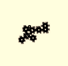 CC1CC(c2ccc(-c3cccc4ccccc34)cc2)=Cc2oc3cccc(-c4nc(-c5ccccc5)nc(-c5ccccc5)n4)c3c21